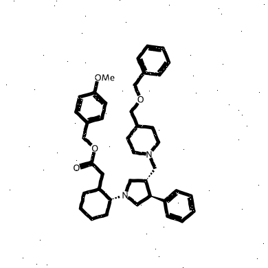 COc1ccc(COC(=O)CC2CCCC[C@H]2N2C[C@H](CN3CCC(COCc4ccccc4)CC3)[C@@H](c3ccccc3)C2)cc1